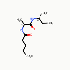 C[C@H](NC(=O)CCCC(=O)O)C(=O)N[C@@H](C[SiH3])C(=O)O